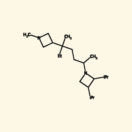 CCC(C)(CCC(C)N1CC(C(C)C)C1C(C)C)C1CN(C)C1